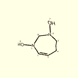 ON1C=CCCN(O)C1